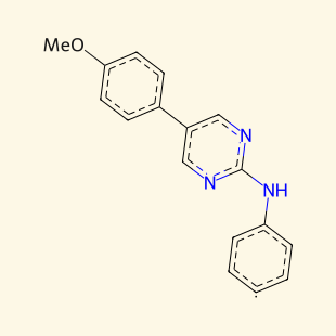 COc1ccc(-c2cnc(Nc3cc[c]cc3)nc2)cc1